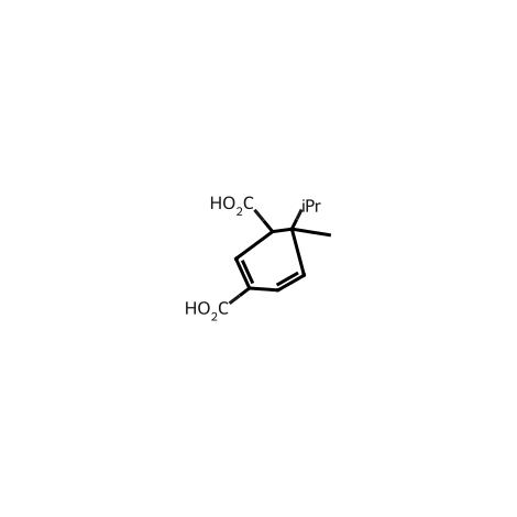 CC(C)C1(C)C=CC(C(=O)O)=CC1C(=O)O